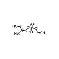 CCOP(=O)(O)OC[C@@H](C)CO